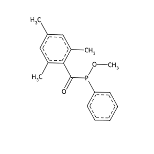 COP(C(=O)c1c(C)cc(C)cc1C)c1ccccc1